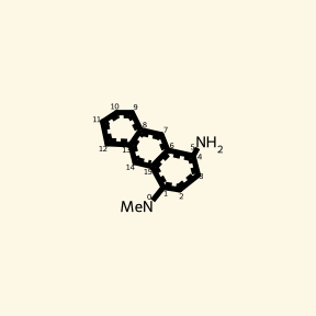 CNc1ccc(N)c2cc3ccccc3cc12